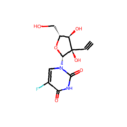 C#C[C@@]1(O)[C@H](O)[C@@H](CO)O[C@H]1n1cc(F)c(=O)[nH]c1=O